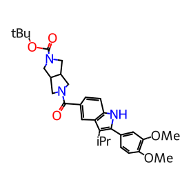 COc1ccc(-c2[nH]c3ccc(C(=O)N4CC5CN(C(=O)OC(C)(C)C)CC5C4)cc3c2C(C)C)cc1OC